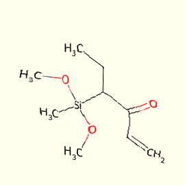 C=CC(=O)C(CC)[Si](C)(OC)OC